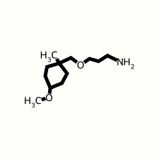 COC1CCC(C)(COCCCN)CC1